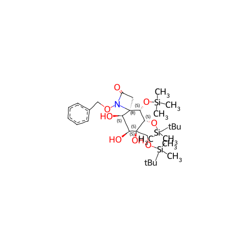 CC(C)(C)[Si](C)(C)OC[C@]1(O)[C@@H](O)[C@@H](O)[C@]2(CC(=O)N2OCc2ccccc2)[C@H](O[Si](C)(C)C)[C@@H]1O[Si](C)(C)C(C)(C)C